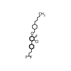 CCCCCC1CCC(COc2ccc(-c3ccc(CCC(F)F)cc3)c(Cl)c2F)CC1